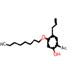 C=CCc1cc(C(C)=O)c(O)cc1OCCCCCCCC#N